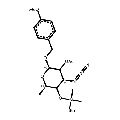 COc1ccc(CO[C@@H]2O[C@H](C)C(O[Si](C)(C)C(C)(C)C)[C@H](N=[N+]=[N-])C2OC(C)=O)cc1